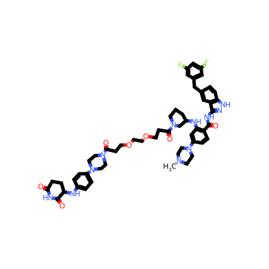 CN1CCN(c2ccc(C(=O)Nc3n[nH]c4ccc(Cc5cc(F)cc(F)c5)cc34)c(NC3CCCN(C(=O)CCOCCOCCC(=O)N4CCN(c5ccc(NC6CCC(=O)NC6=O)cc5)CC4)C3)c2)CC1